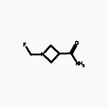 NC(=O)C1CN(CF)C1